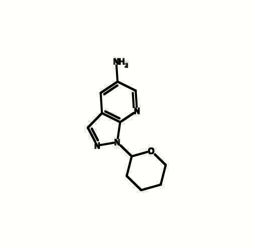 Nc1cnc2c(cnn2C2CCCCO2)c1